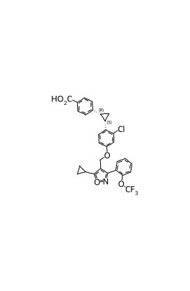 O=C(O)c1ccc([C@@H]2C[C@@H]2c2ccc(OCc3c(-c4ccccc4OC(F)(F)F)noc3C3CC3)cc2Cl)cc1